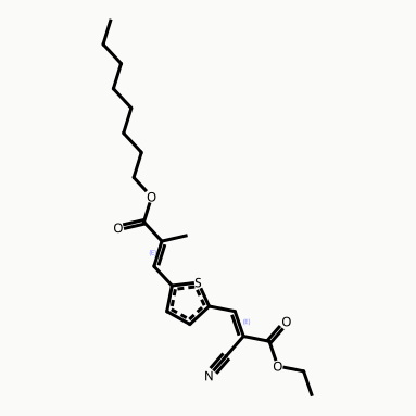 CCCCCCCCOC(=O)/C(C)=C/c1ccc(/C=C(\C#N)C(=O)OCC)s1